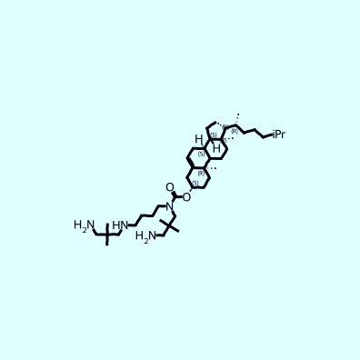 CC(C)CCC[C@@H](C)[C@H]1CC[C@H]2[C@@H]3CC=C4C[C@@H](OC(=O)N(CCCCNCC(C)(C)CN)CC(C)(C)CN)CC[C@]4(C)C3CC[C@]12C